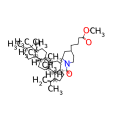 C=C(C)[C@@H]1CC[C@]2(C(=O)N3CCC(CCCC(=O)OC)CC3)CC[C@]3(C)[C@H](CC[C@@H]4[C@@]5(C)CC[C@H](C)C(C)(C)[C@@H]5CC[C@]43C)[C@@H]12